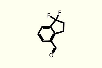 O=Cc1cccc2c1CCC2(F)F